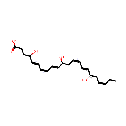 CC/C=C\C[C@H](O)/C=C/C=C\CC(O)/C=C/C=C\C=C\C(O)CCC(=O)O